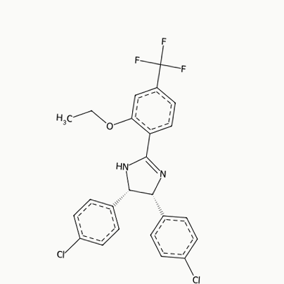 CCOc1cc(C(F)(F)F)ccc1C1=N[C@H](c2ccc(Cl)cc2)[C@H](c2ccc(Cl)cc2)N1